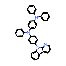 c1ccc(N(c2ccccc2)c2ccc(N(c3ccccc3)c3ccc(-n4c5ccccc5c5cccnc54)cc3)cc2)cc1